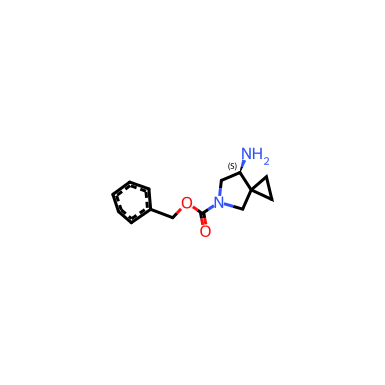 N[C@@H]1CN(C(=O)OCc2ccccc2)CC12CC2